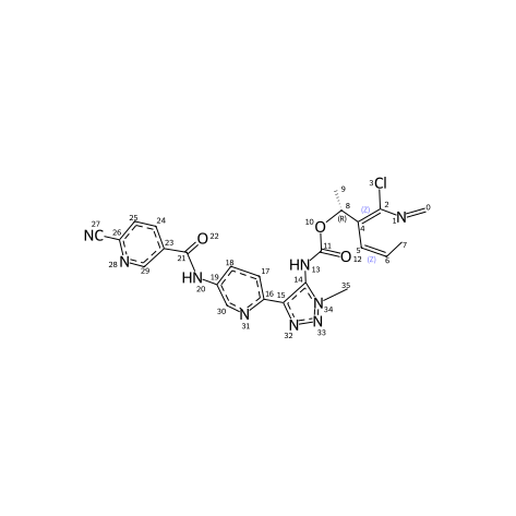 C=N/C(Cl)=C(\C=C/C)[C@@H](C)OC(=O)Nc1c(-c2ccc(NC(=O)c3ccc(C#N)nc3)cn2)nnn1C